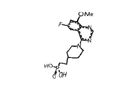 COc1cc(F)cc2c(N3CCC(CCP(=O)(O)O)CC3)ncnc12